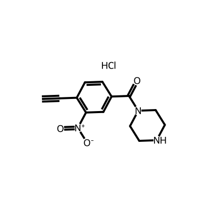 C#Cc1ccc(C(=O)N2CCNCC2)cc1[N+](=O)[O-].Cl